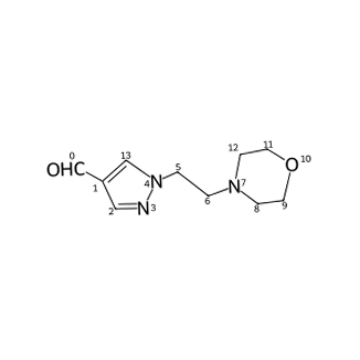 O=Cc1cnn(CCN2CCOCC2)c1